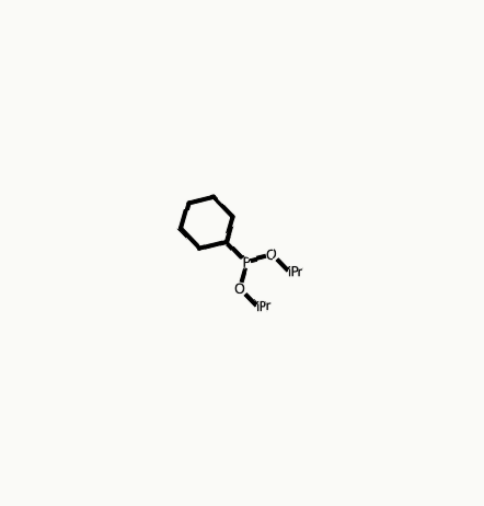 CC(C)OP(OC(C)C)C1CCCCC1